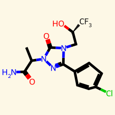 CC(C(N)=O)n1nc(-c2ccc(Cl)cc2)n(C[C@@H](O)C(F)(F)F)c1=O